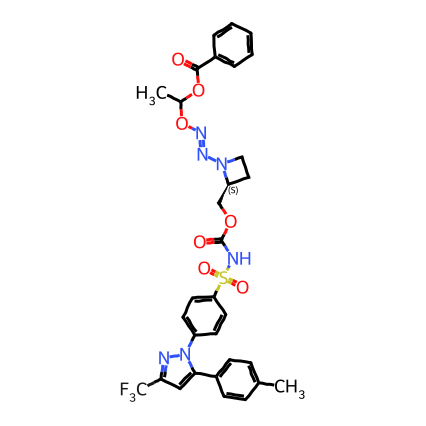 Cc1ccc(-c2cc(C(F)(F)F)nn2-c2ccc(S(=O)(=O)NC(=O)OC[C@@H]3CCN3N=NOC(C)OC(=O)c3ccccc3)cc2)cc1